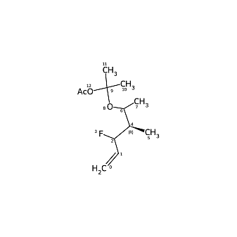 C=CC(F)[C@H](C)C(C)OC(C)(C)OC(C)=O